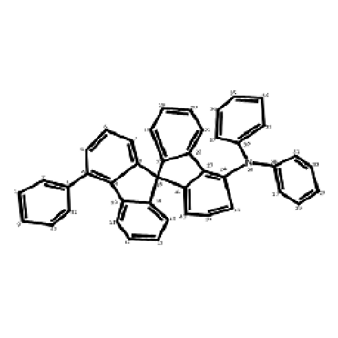 c1ccc(-c2cccc3c2-c2ccccc2C32c3ccccc3-c3c(N(c4ccccc4)c4ccccc4)cccc32)cc1